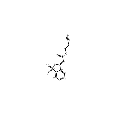 N#CCCOC(=O)C=C1CS(=O)(=O)c2ccccc21